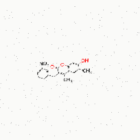 Cc1cc2c(C)c(CC3=CC([N+](=O)[O-])=CCC3)c(=O)oc2cc1O